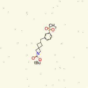 CC(C)(C)OC(=O)N1CC2(CC(Cc3cccc(S(C)(=O)=O)c3)C2)C1